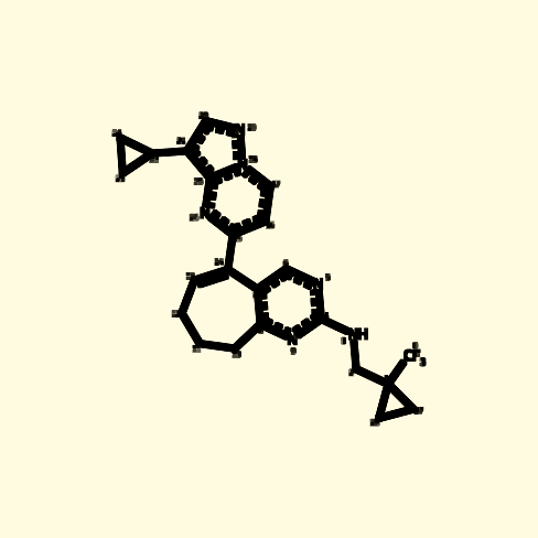 FC(F)(F)C1(CNc2ncc3c(n2)CCCC=C3c2ccn3ncc(C4CC4)c3n2)CC1